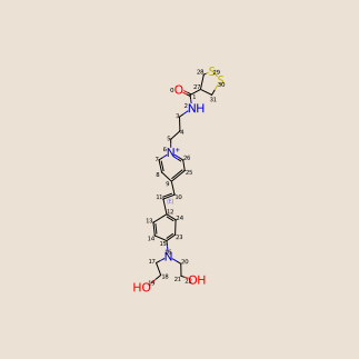 O=C(NCCC[n+]1ccc(/C=C/c2ccc(N(CCO)CCO)cc2)cc1)C1CSSC1